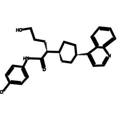 O=C(Nc1ccc(Cl)cc1)[C@H](CCCO)[C@H]1CC[C@@H](c2ccnc3ccccc32)CC1